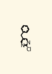 Clc1ncc(Cc2ccccc2)cn1